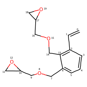 C=Cc1cccc(COCC2CO2)c1COCC1CO1